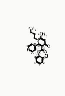 CCCCn1c(C)cc(=O)c(C(=O)Nc2ccccc2Cl)c1-c1ccncc1